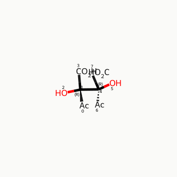 CC(=O)[C@@](O)(C(=O)O)[C@@](O)(C(C)=O)C(=O)O